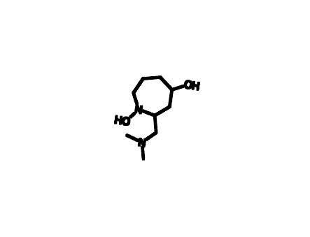 CN(C)CC1CC(O)CCCN1O